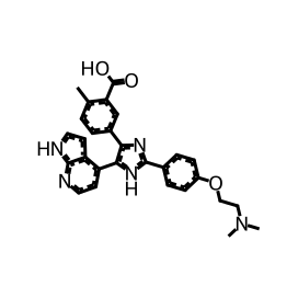 Cc1ccc(-c2nc(-c3ccc(OCCN(C)C)cc3)[nH]c2-c2ccnc3[nH]ccc23)cc1C(=O)O